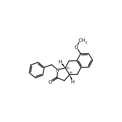 COc1cccc2c1C[C@@H]1[C@@H](CC(=O)N1Cc1ccccc1)C2